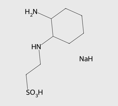 NC1CCCCC1NCCS(=O)(=O)O.[NaH]